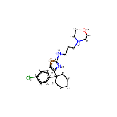 Clc1ccc(C2(c3csc(NCCCN4CCOCC4)n3)CCCCC2)cc1